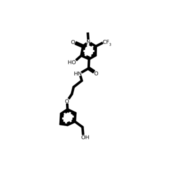 Cn1c(C(F)(F)F)cc(C(=O)NCCCOc2cccc(CO)c2)c(O)c1=O